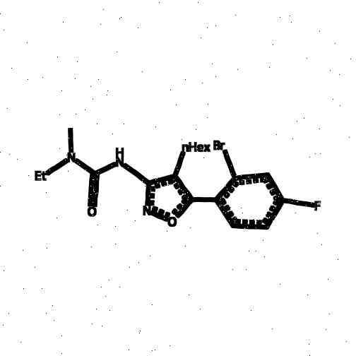 CCCCCCc1c(NC(=O)N(C)CC)noc1-c1ccc(F)cc1Br